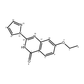 CCOc1ccc2c(=O)[nH]c(-n3cccn3)nc2c1